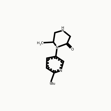 CC1CNCC(=O)N1c1ccc(C(C)(C)C)nc1